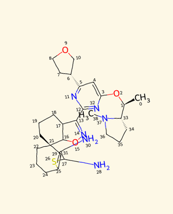 C[C@H](Oc1cc([C@@H]2CCOC2)nc(C2=NOC3C2CCC[C@@]32CCCc3sc(N)c(N)c32)n1)[C@@H]1CCCN1C